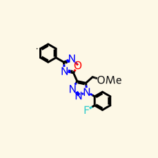 COCc1c(-c2nc(-c3cc[c]cc3)no2)nnn1-c1ccccc1F